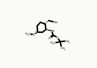 CO[C@H]1CC[C@H](CO)[C@@H](NC(=O)OC(C)(C)C)C1